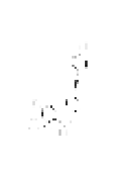 CCCCc1ccc(C#Cc2ccc(CN(CC)c3ccc(F)c(C(=O)OC)c3)cc2)cc1